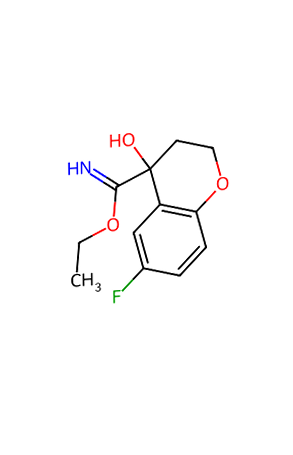 CCOC(=N)C1(O)CCOc2ccc(F)cc21